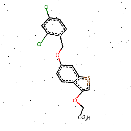 O=C(O)COc1csc2cc(OCc3ccc(Cl)cc3Cl)ccc12